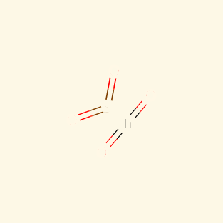 O=S=O.[O]=[Ti]=[O]